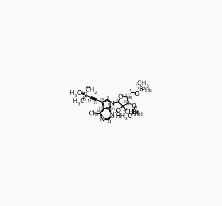 [2H]B(C)OC[C@H]1OC(n2cc(C#C[Si](C)(C)C)c3c(Cl)ncnc32)C(C)(O)[C@@H]1OB([2H])C